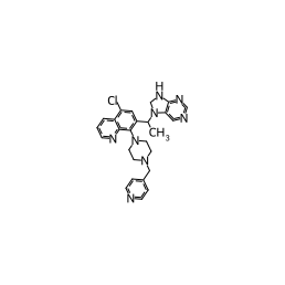 CC(c1cc(Cl)c2cccnc2c1N1CCN(Cc2ccncc2)CC1)N1CNc2ncncc21